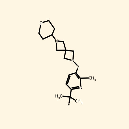 Cc1nc(C(C)(C)F)ccc1SN1CC2(C1)CN(C1CCOCC1)C2